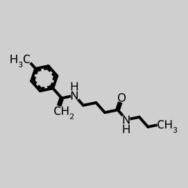 C=C(NCCCC(=O)NCCC)c1ccc(C)cc1